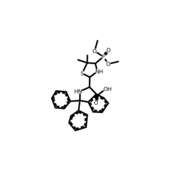 COP(=O)(OC)C1NC(C(NC(c2ccccc2)(c2ccccc2)c2ccccc2)C(=O)O)SC1(C)C